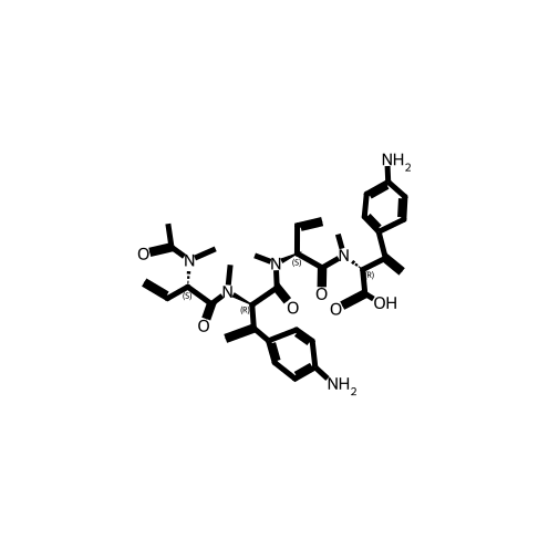 C=C[C@@H](C(=O)N(C)[C@H](C(=C)c1ccc(N)cc1)C(=O)N(C)[C@@H](C=C)C(=O)N(C)[C@H](C(=C)c1ccc(N)cc1)C(=O)O)N(C)C(C)=O